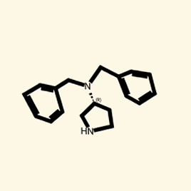 c1ccc(CN(Cc2ccccc2)[C@@H]2CCNC2)cc1